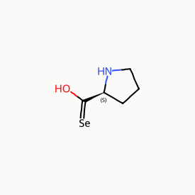 OC(=[Se])[C@@H]1CCCN1